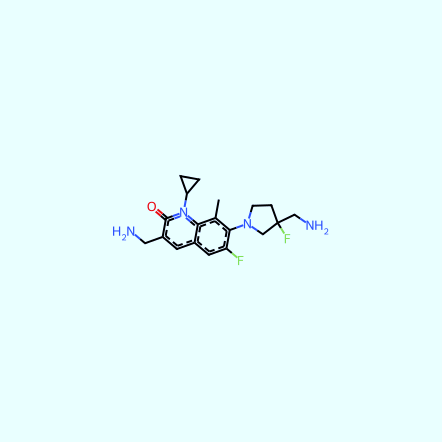 Cc1c(N2CCC(F)(CN)C2)c(F)cc2cc(CN)c(=O)n(C3CC3)c12